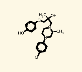 C[C@H]1CN(c2ccc(Cl)cc2)CCN1C[C@@](C)(O)COc1ccc(O)cc1